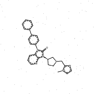 Cn1ccnc1CN1CC[C@@H](n2c(=O)n(-c3ccc(-c4ccccc4)cc3)c3cccnc32)C1